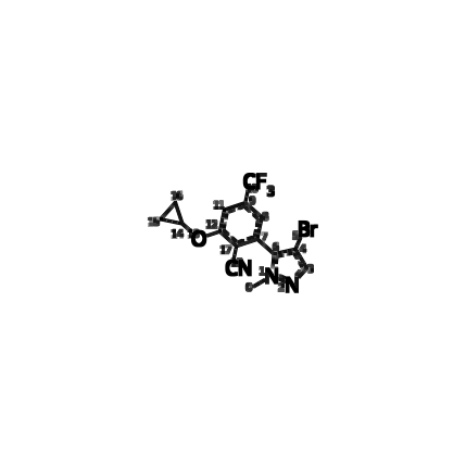 Cn1ncc(Br)c1-c1cc(C(F)(F)F)cc(OC2CC2)c1C#N